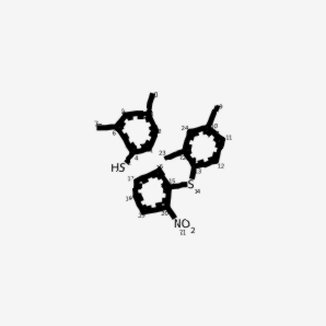 Cc1ccc(S)c(C)c1.Cc1ccc(Sc2ccccc2[N+](=O)[O-])c(C)c1